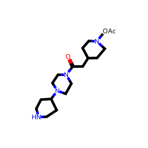 CC(=O)ON1CCC(CC(=O)N2CCN(C3CCNCC3)CC2)CC1